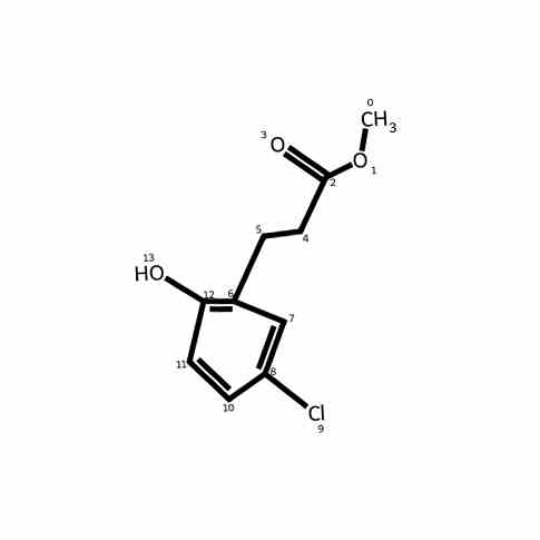 COC(=O)CCc1cc(Cl)ccc1O